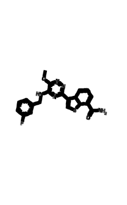 COc1nnc(C2=CSC3C(C(N)=O)=CC=CC23)nc1NCc1cccc(F)c1